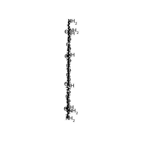 NCCCCCC(N)C(=O)NCCCOCCOCCOCCCNC(=O)CCOCCOCCOCCOCCOCCC(=O)NCCCOCCOCCOCCCNC(=O)[C@@H](N)CCCCN